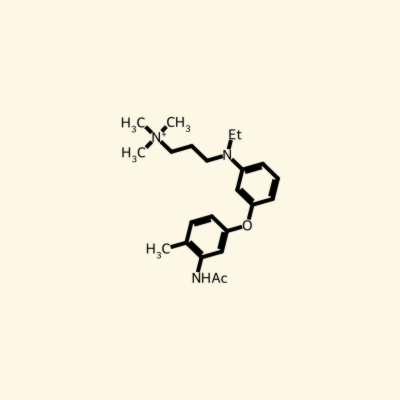 CCN(CCC[N+](C)(C)C)c1cccc(Oc2ccc(C)c(NC(C)=O)c2)c1